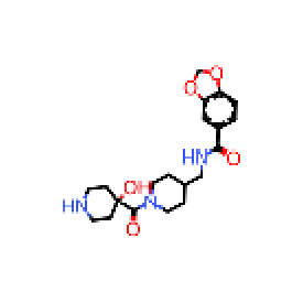 O=C(NCC1CCN(C(=O)C2(O)CCNCC2)CC1)c1ccc2c(c1)OCO2